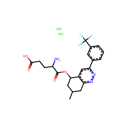 CC1Cc2nnc(-c3cccc(C(F)(F)F)c3)cc2C(OC(=O)C(N)CCC(=O)O)C1.Cl.Cl